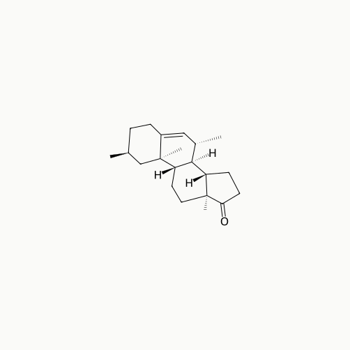 C[C@H]1CCC2=C[C@H](C)[C@@H]3[C@H](CC[C@]4(C)C(=O)CC[C@@H]34)[C@@]2(C)C1